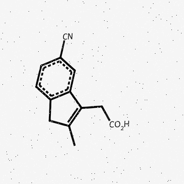 CC1=C(CC(=O)O)c2cc(C#N)ccc2C1